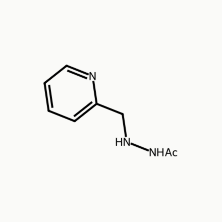 CC(=O)NNCc1ccccn1